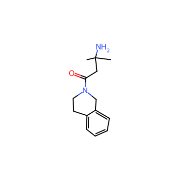 CC(C)(N)CC(=O)N1CCc2ccccc2C1